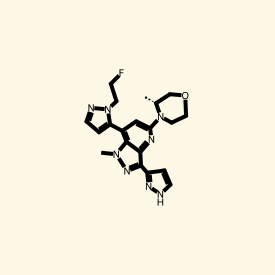 C[C@@H]1COCCN1c1cc(-c2ccnn2CCF)c2c(n1)c(-c1cc[nH]n1)nn2C